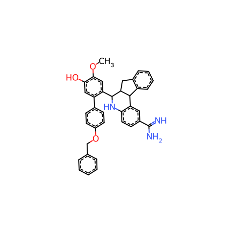 COc1cc(C2Nc3ccc(C(=N)N)cc3C3c4ccccc4CC23)c(-c2ccc(OCc3ccccc3)cc2)cc1O